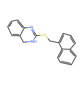 c1ccc2c(c1)CNC(SCc1cccc3ccccc13)=N2